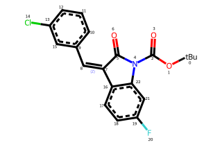 CC(C)(C)OC(=O)N1C(=O)/C(=C\c2cccc(Cl)c2)c2ccc(F)cc21